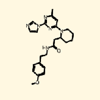 COc1ccc(CCNC(=O)CC2CCCCN2c2cc(C)nc(-n3ccnc3)n2)cc1